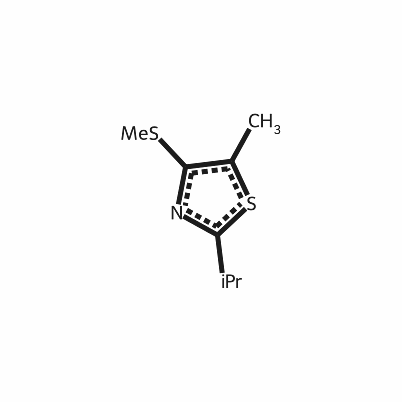 CSc1nc(C(C)C)sc1C